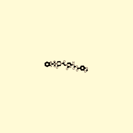 O=C(Nc1ccn(CC(=O)N2CCN(S(=O)(=O)c3nc4ccccc4s3)C(=O)C2)c(=O)n1)OC(=O)c1ccc2c(c1)OCO2